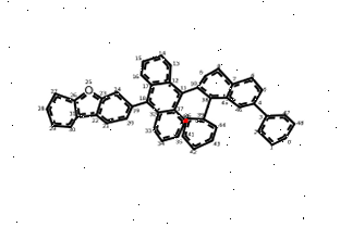 c1ccc(-c2ccc3ccc(-c4c5ccccc5c(-c5ccc6c(c5)oc5ccccc56)c5ccccc45)c(-c4ccccc4)c3c2)cc1